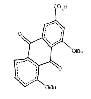 CC(C)COc1cccc2c1C(=O)c1c(OCC(C)C)cc(C(=O)O)cc1C2=O